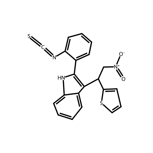 O=[N+]([O-])CC(c1cccs1)c1c(-c2ccccc2N=C=S)[nH]c2ccccc12